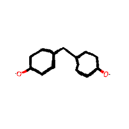 [O]C1CCC(CC2CCC([O])CC2)CC1